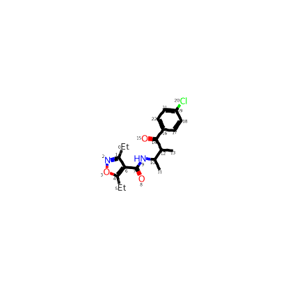 CCc1noc(CC)c1C(=O)NC(C)C(C)C(=O)c1ccc(Cl)cc1